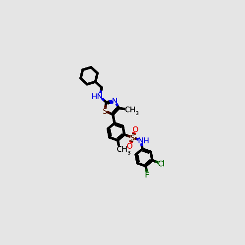 Cc1ccc(-c2sc(NCC3CCCCC3)nc2C)cc1S(=O)(=O)Nc1ccc(F)c(Cl)c1